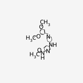 CCOc1cc(CN2CCC(Nc3ccc(NC(C)=O)nc3)CC2)cc(OCC)c1